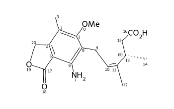 COc1c(C)c2c(c(N)c1CC=C(C)[C@@H](C)CC(=O)O)C(=O)OC2